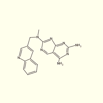 CN(Cc1cnc2ccccc2c1)c1ncc2c(N)nc(N)nc2n1